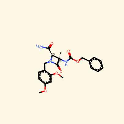 COc1ccc(CN2C(=O)[C@](C)(NC(=O)OCc3ccccc3)[C@@H]2C(N)=O)c(OC)c1